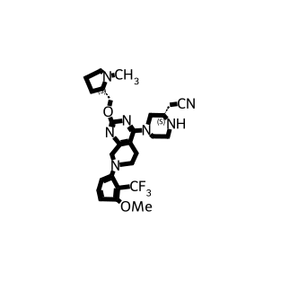 COc1cccc(N2CCc3c(nc(OC[C@@H]4CCCN4C)nc3N3CCN[C@@H](CC#N)C3)C2)c1C(F)(F)F